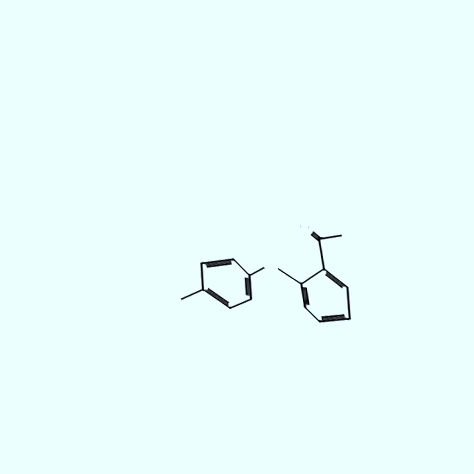 CC(=O)c1ccccc1Oc1ccc(C)cc1